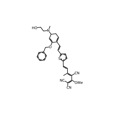 COC(=C(C#N)C#N)/C(C#N)=C(C)/C=C/c1ccc(/C=C/C2=CCC(N(C)CCO)C=C2OCc2ccccc2)s1